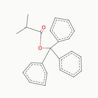 C[C](C)C(=O)OC(c1ccccc1)(c1ccccc1)c1ccccc1